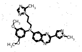 COc1cc(OC)cc(N(CCCn2ncnc2C)c2ccc3ncc(-c4cnn(C)c4)nc3c2)c1